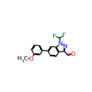 COc1cccc(-c2ccc3c(C=O)nn(C(F)F)c3c2)c1